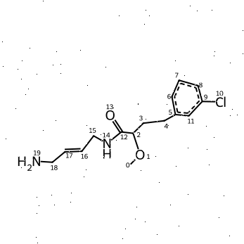 COC(CCc1cccc(Cl)c1)C(=O)NC/C=C/CN